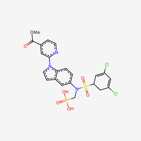 COC(=O)c1ccnc(-n2ccc3cc(N(CP(=O)(O)O)S(=O)(=O)C4C=C(Cl)C=C(Cl)C4)ccc32)c1